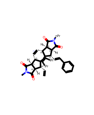 C=C[C@H]1C(=CC(C)C)[C@@H](/C=C\[C@H]2C(=CC(C)C)[C@@H](C=Cc3ccccc3)[C@@H]3C(=O)N(CCC)C(=O)[C@@H]32)[C@@H]2C(=O)N(C)C(=O)[C@@H]21